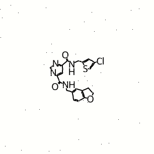 O=C(NCc1ccc2c(c1)CCO2)c1cc(C(=O)NCc2cc(Cl)cs2)ncn1